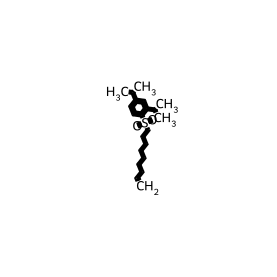 C=CCCCCCCCS(=O)(=O)c1ccc(C(C)C)cc1C(C)C